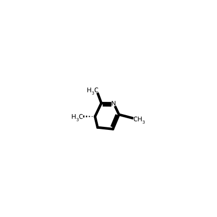 CC1=CC[C@H](C)C(C)=N1